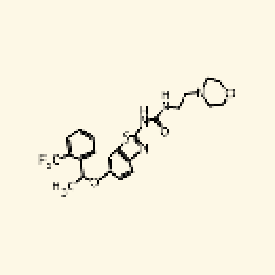 CC(Oc1ccc2nc(NC(=O)NCCN3CCOCC3)sc2c1)c1ccccc1C(F)(F)F